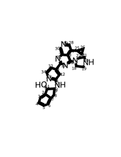 O[C@H]1c2ccccc2C[C@@H]1Nc1cc(-c2nc(N3CCNCC3)c3c(C4CC4)cncc3n2)ccn1